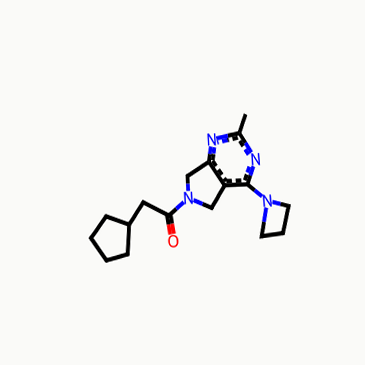 Cc1nc2c(c(N3CCC3)n1)CN(C(=O)CC1CCCC1)C2